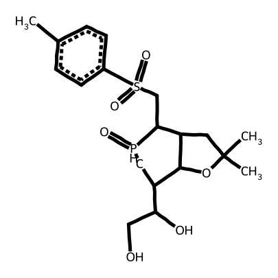 Cc1ccc(S(=O)(=O)CC2C3CC(C)(C)OC3C(C(O)CO)C[PH]2=O)cc1